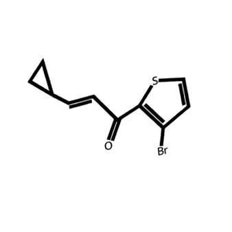 O=C(/C=C/C1CC1)c1sccc1Br